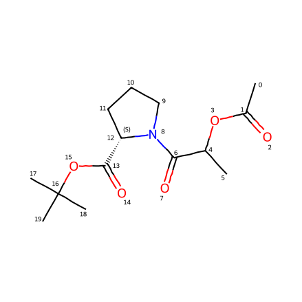 CC(=O)OC(C)C(=O)N1CCC[C@H]1C(=O)OC(C)(C)C